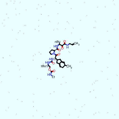 C=CCNC(=O)C(=O)C(CCCC)NC(=O)[C@@H]1CCCN1C(=O)[C@@H](NC(=O)N[C@H](COC(=O)NCC)C(C)(C)C)C1CC2=CCC(C)C=C2C1